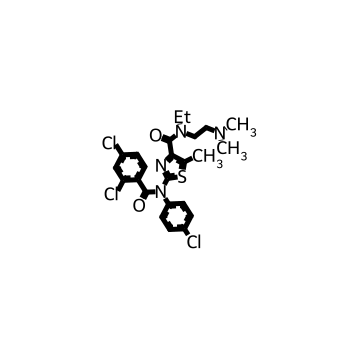 CCN(CCN(C)C)C(=O)c1nc(N(C(=O)c2ccc(Cl)cc2Cl)c2ccc(Cl)cc2)sc1C